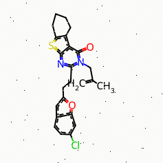 C=C(C)Cn1c(CCc2cc3ccc(Cl)cc3o2)nc2sc3c(c2c1=O)CCCC3